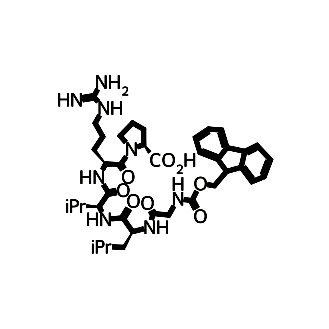 CC(C)C[C@H](NC(=O)CNC(=O)OCC1c2ccccc2-c2ccccc21)C(=O)N[C@H](C(=O)N[C@@H](CCCNC(=N)N)C(=O)N1CCC[C@H]1C(=O)O)C(C)C